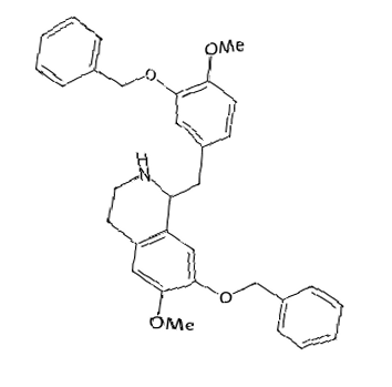 COc1ccc(CC2NCCc3cc(OC)c(OCc4ccccc4)cc32)cc1OCc1ccccc1